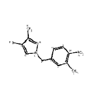 Cc1cc(Cn2cc(I)c(C(F)(F)F)n2)ccc1[N+](=O)[O-]